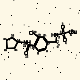 C[C@@H](NS(=O)(=O)C(C)(C)C)c1ccc(C(=O)NC2CCCC2)c(Cl)c1